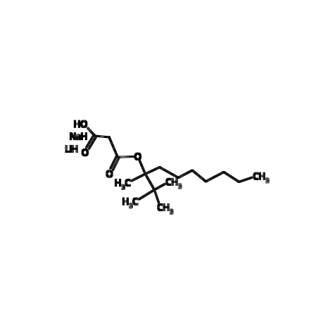 CCCCCCCC(C)(OC(=O)CC(=O)O)C(C)(C)C.[LiH].[NaH]